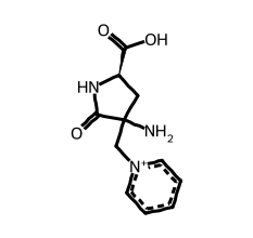 NC1(C[n+]2ccccc2)C[C@H](C(=O)O)NC1=O